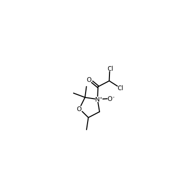 CC1C[N+]([O-])(C(=O)C(Cl)Cl)C(C)(C)O1